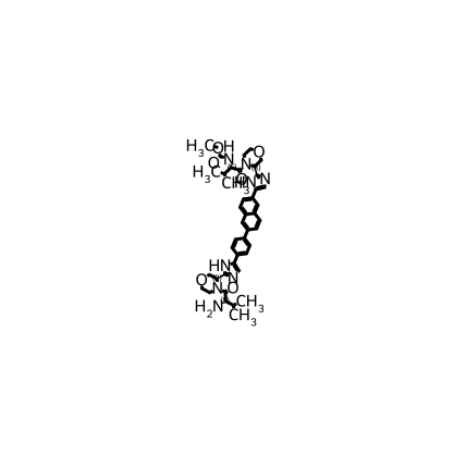 COC(=O)N[C@H](C(=O)N1CCOC[C@H]1c1ncc(-c2ccc3cc(-c4ccc(-c5cnc([C@@H]6COCCN6C(=O)[C@@H](N)C(C)C)[nH]5)cc4)ccc3c2)[nH]1)C(C)C